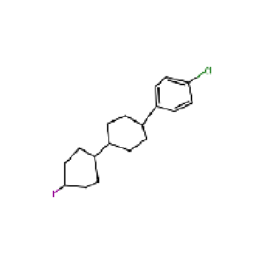 Clc1ccc(C2CCC(C3CCC(I)CC3)CC2)cc1